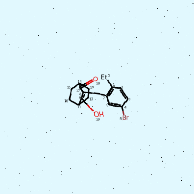 CCc1ccc(Br)cc1C1=C(O)C2CCC(CC2)C1=O